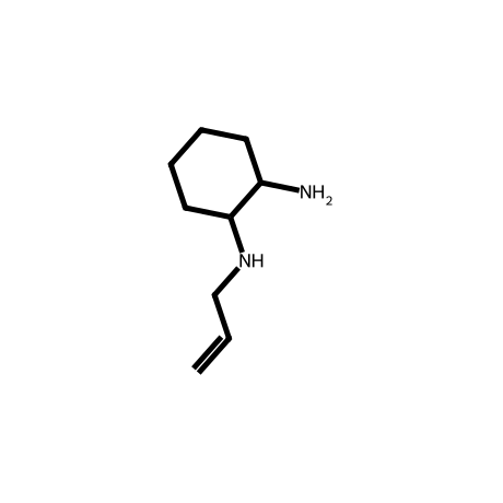 C=CCNC1CCCCC1N